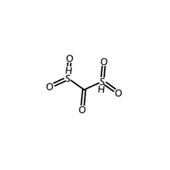 O=C([SH](=O)=O)[SH](=O)=O